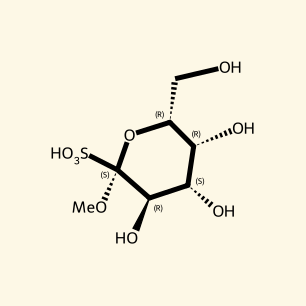 CO[C@]1(S(=O)(=O)O)O[C@H](CO)[C@H](O)[C@H](O)[C@H]1O